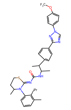 Cc1cccc(N2/C(=N/C(=O)NC(C)C(C)c3ccc(-c4ncn(-c5ccc(OC(F)(F)F)cc5)n4)cc3)SCCC2C)c1C(C)C